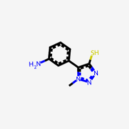 Cn1nnc(S)c1-c1cccc(N)c1